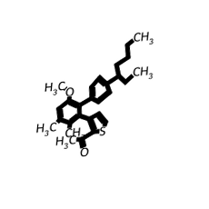 CCCCC(CC)c1ccc(-c2c(OC)cc(C)c(C)c2-c2ccsc2C(C)=O)cc1